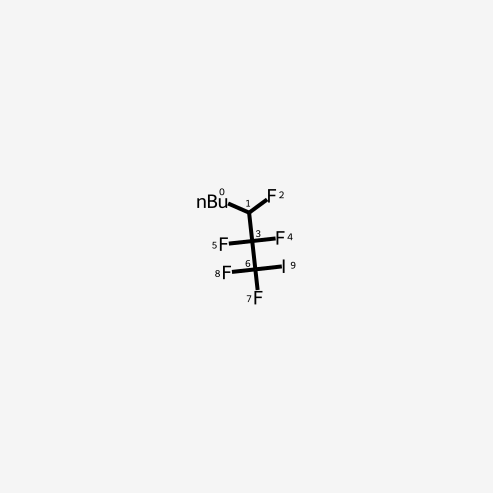 CCCCC(F)C(F)(F)C(F)(F)I